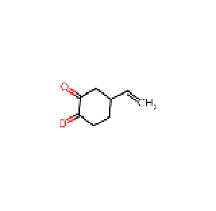 C=CC1CCC(=O)C(=O)C1